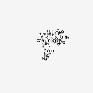 NCC(=O)O.NCC(=O)O.NCC(=O)O.NCC(=O)O.O=P([O-])([O-])OP(=O)([O-])[O-].[Na+].[Na+].[Na+].[Na+]